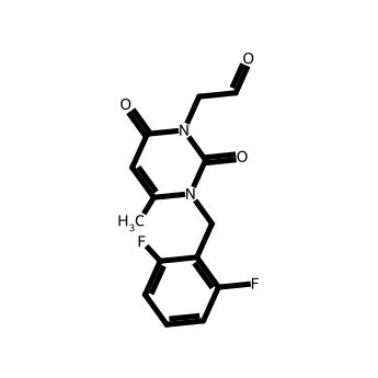 Cc1cc(=O)n(CC=O)c(=O)n1Cc1c(F)cccc1F